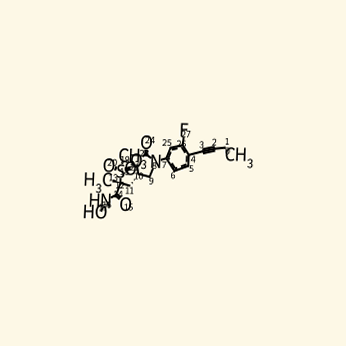 CCC#Cc1ccc(N2C[C@H](C[C@](C)(C(=O)NO)S(C)(=O)=O)OC2=O)cc1F